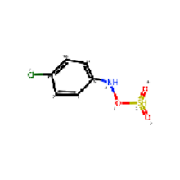 O=[SH](=O)ONc1ccc(Cl)cc1